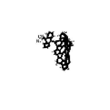 [C-]#[N+]C(C#N)=C1c2ccccc2C(C2C3C4=c5c6c7c8c9c%10c%11c(c%12ccc%13c%14ccc%15c(c5c5c%15c%14c(c%13c%12%10)c9c75)C32)C=CC2C%11C=8C3C2C=CC4C63)c2ccccc21